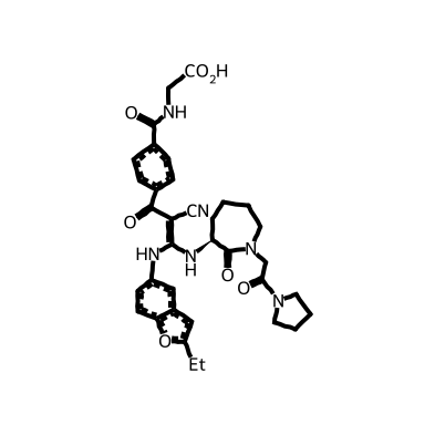 CCc1cc2cc(NC(N[C@H]3CCCCN(CC(=O)N4CCCC4)C3=O)=C(C#N)C(=O)c3ccc(C(=O)NCC(=O)O)cc3)ccc2o1